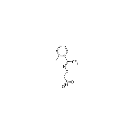 Cc1ccccc1C(=NOC[SH](=O)=O)C(F)(F)F